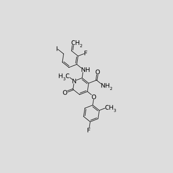 C=C/C(F)=C(\C=C/CI)Nc1c(C(N)=O)c(Oc2ccc(F)cc2C)cc(=O)n1C